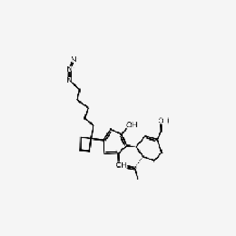 C=C(C)[C@H]1CCC(CO)=C[C@@H]1c1c(O)cc(C2(CCCCCN=[N+]=[N-])CCC2)cc1O